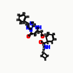 O=C(NCC1CCC1)c1ccccc1OCc1cc(=O)n2nc(-c3ccccc3)nc2[nH]1